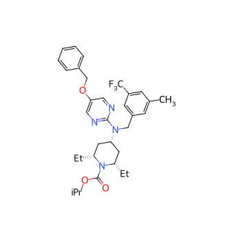 CC[C@@H]1C[C@H](N(Cc2cc(C)cc(C(F)(F)F)c2)c2ncc(OCc3ccccc3)cn2)C[C@H](CC)N1C(=O)OC(C)C